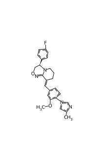 COc1cc(/C=C2\CCCN3C2=NOC[C@H]3c2ccc(F)cc2)ccc1-n1cnc(C)c1